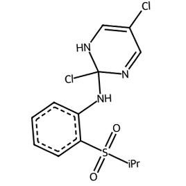 CC(C)S(=O)(=O)c1ccccc1NC1(Cl)N=CC(Cl)=CN1